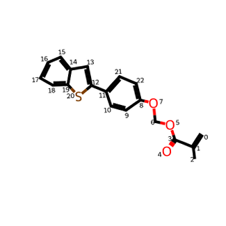 C=C(C)C(=O)OCOc1ccc(-c2cc3ccccc3s2)cc1